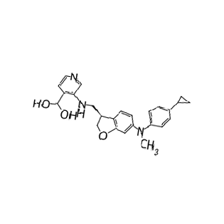 CN(c1ccc(C2CC2)cc1)c1ccc2c(c1)OC[C@H]2CNc1cnccc1C(O)O